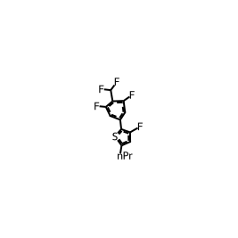 CCCc1cc(F)c(-c2cc(F)c(C(F)F)c(F)c2)s1